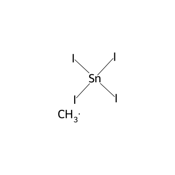 [CH3].[I][Sn]([I])([I])[I]